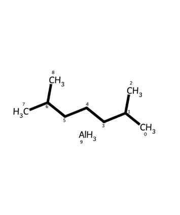 CC(C)CCCC(C)C.[AlH3]